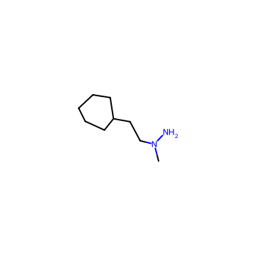 CN(N)CCC1CCCCC1